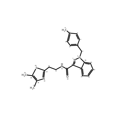 Cc1ccc(Cn2nc(C(=O)NCCc3nc(C)c(C)s3)c3ccccc32)cc1